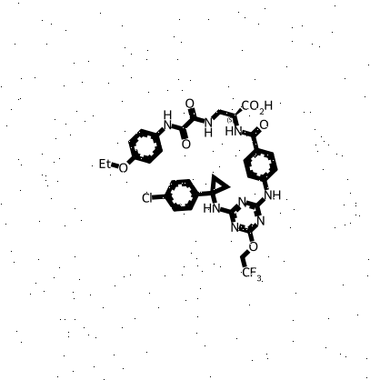 CCOc1ccc(NC(=O)C(=O)NC[C@H](NC(=O)c2ccc(Nc3nc(NC4(c5ccc(Cl)cc5)CC4)nc(OCC(F)(F)F)n3)cc2)C(=O)O)cc1